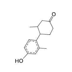 Cc1cc(O)ccc1C1CCC(=O)CC1C